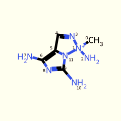 C[N+]1(N)N=Cc2c(N)nc(N)n21